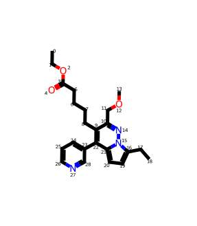 CCOC(=O)CCCCc1c(COC)nn2c(CC)ccc2c1-c1cccnc1